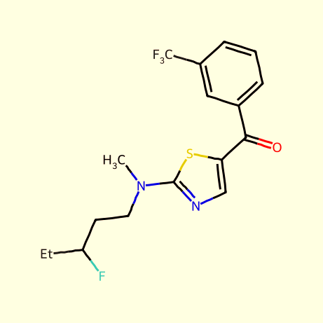 CCC(F)CCN(C)c1ncc(C(=O)c2cccc(C(F)(F)F)c2)s1